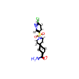 NC(=O)C1CC2(CCN(S(=O)(=O)c3ccc(Cl)nc3)CC2)C1